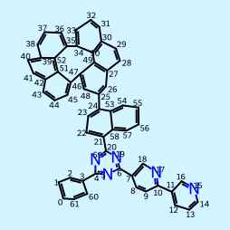 c1ccc(-c2nc(-c3ccc(-c4cccnc4)nc3)nc(-c3ccc(-c4cc5ccc6cccc7c8cccc9ccc%10cccc(c(c4)c5c67)c%10c98)c4ccccc34)n2)cc1